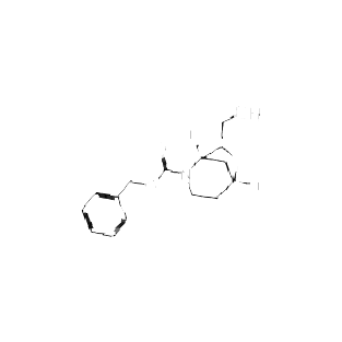 O=C(OCc1ccccc1)N1CC[C@@H]2C[C@H]1[C@@H](CO)O2